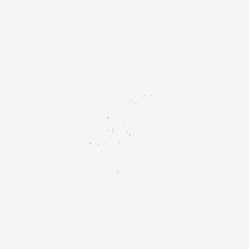 c1ccc(N(c2ccc3ccccc3c2)c2ccc3c(c2)c2cccc(N(c4ccccc4)c4cccc(C5(c6ccccc6)c6ccccc6-c6ccccc65)c4)c2n3-c2ccccc2)cc1